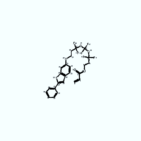 C=CC(=O)OCCC(F)(F)OC(F)(F)OC(F)(F)CCOc1ccc2cc(-c3ccccc3)sc2c1